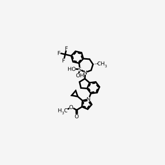 COC(=O)c1ccn(-c2cccc3c2CCC3N2C[C@@H](C)Cc3ccc(C(F)(F)F)cc3S2(O)O)c1C1CC1